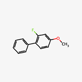 COc1ccc(-c2ccccc2)c(F)c1